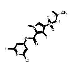 C[C@@H](NS(=O)(=O)c1cn(C)c(C(=O)Nc2cc(Cl)nc(Cl)c2)c1F)C(F)(F)F